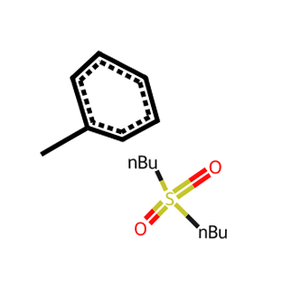 CCCCS(=O)(=O)CCCC.Cc1ccccc1